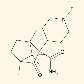 CC12CCC(C)(C(C(N)=O)(C3CCN(F)CC3)C1=O)C2(C)C